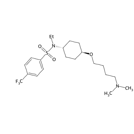 CCN([C@H]1CC[C@H](OCCCCN(C)C)CC1)S(=O)(=O)c1ccc(C(F)(F)F)cc1